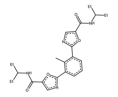 CCC(CC)NC(=O)c1cnc(-c2cccc(-c3ncc(C(=O)NC(CC)CC)o3)c2C)o1